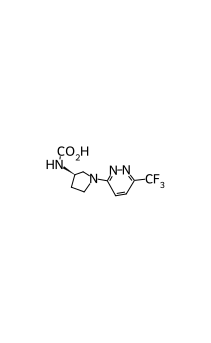 O=C(O)N[C@@H]1CCN(c2ccc(C(F)(F)F)nn2)C1